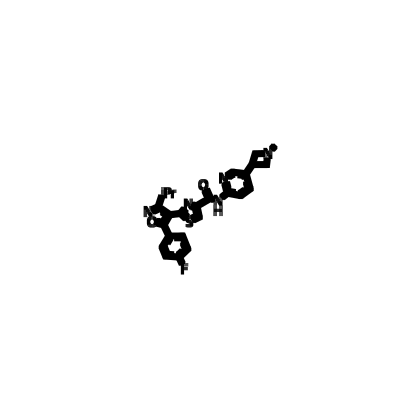 CC(C)c1noc(-c2ccc(F)cc2)c1-c1nc(C(=O)Nc2ccc(C3CN(C)C3)cn2)cs1